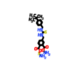 CC(C)(C)c1ccc(CNC(=S)NCc2ccc(C(=O)OSN)c(C(=O)ON)c2)cc1